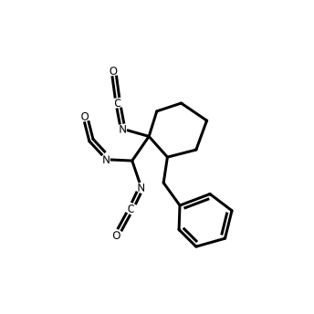 O=C=NC(N=C=O)C1(N=C=O)CCCCC1Cc1ccccc1